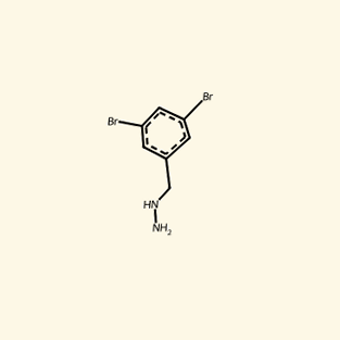 NNCc1cc(Br)cc(Br)c1